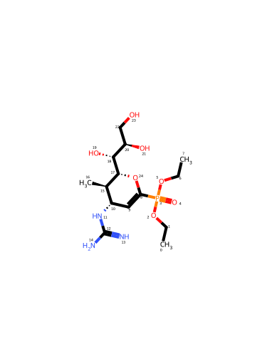 CCOP(=O)(OCC)C1=C[C@H](NC(=N)N)[C@@H](C)[C@H]([C@H](O)[C@H](O)CO)O1